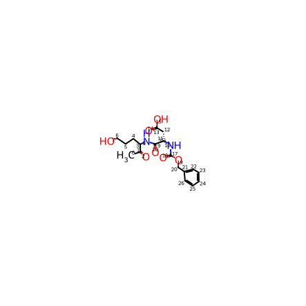 CC(=O)C(CCCO)NC(=O)[C@H](CC(=O)O)NC(=O)OCc1ccccc1